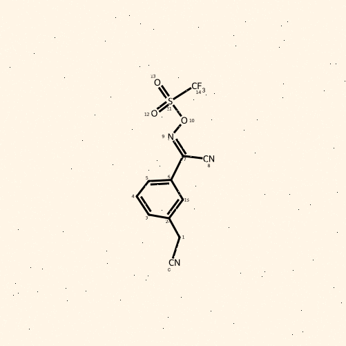 N#CCc1cccc(C(C#N)=NOS(=O)(=O)C(F)(F)F)c1